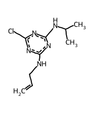 C=CCNc1nc(Cl)nc(NC(C)C)n1